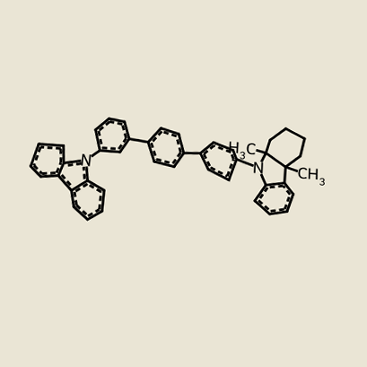 CC12CCCCC1(C)N(c1ccc(-c3ccc(-c4cccc(-n5c6ccccc6c6ccccc65)c4)cc3)cc1)c1ccccc12